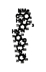 CNC(=O)c1ccccc1Nc1cc(Nc2ccc3c(c2)OCC2CN(c4ccccn4)CCN32)ncc1C(F)(F)F